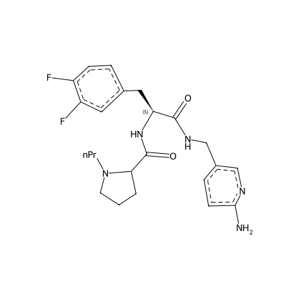 CCCN1CCCC1C(=O)N[C@@H](Cc1ccc(F)c(F)c1)C(=O)NCc1ccc(N)nc1